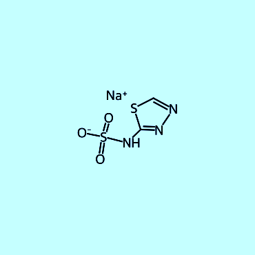 O=S(=O)([O-])Nc1nncs1.[Na+]